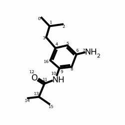 CC(C)Cc1cc(N)cc(NC(=O)C(C)C)c1